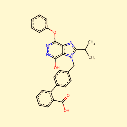 CC(C)c1nc2c(Oc3ccccc3)nnc(O)c2n1Cc1ccc(-c2ccccc2C(=O)O)cc1